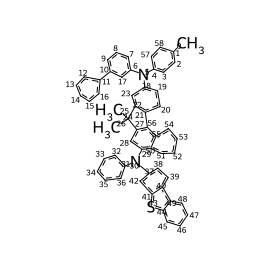 Cc1ccc(N(c2cccc(-c3ccccc3)c2)c2ccc3c(c2)C(C)(C)c2cc(N(c4ccccc4)c4ccc5c(c4)sc4ccccc45)c4ccccc4c2-3)cc1